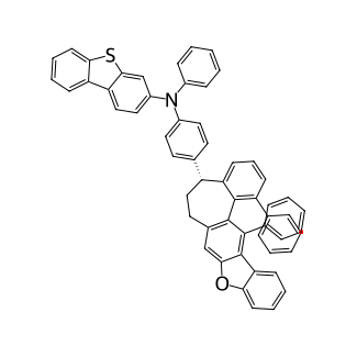 c1ccc(-c2cccc3c2-c2c(cc4oc5ccccc5c4c2-c2ccccc2)CC[C@@H]3c2ccc(N(c3ccccc3)c3ccc4c(c3)sc3ccccc34)cc2)cc1